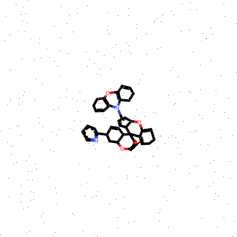 C1=CC2OC3CC(c4ccccn4)C=CC3C3(C4=CCCC=C4OC4C=C(N5C6=C(CCC=C6)OC6=C5CCC=C6)C=CC43)C2C=C1